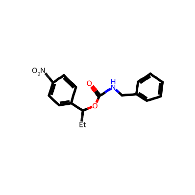 CCC(OC(=O)NCc1ccccc1)c1ccc([N+](=O)[O-])cc1